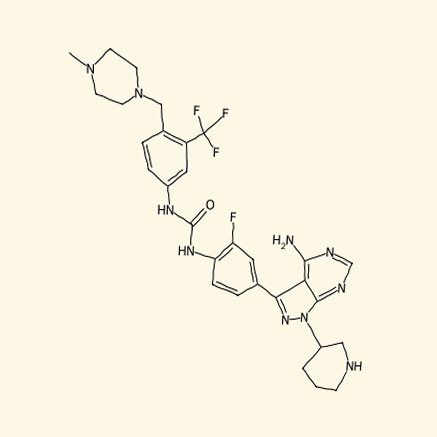 CN1CCN(Cc2ccc(NC(=O)Nc3ccc(-c4nn(C5CCCNC5)c5ncnc(N)c45)cc3F)cc2C(F)(F)F)CC1